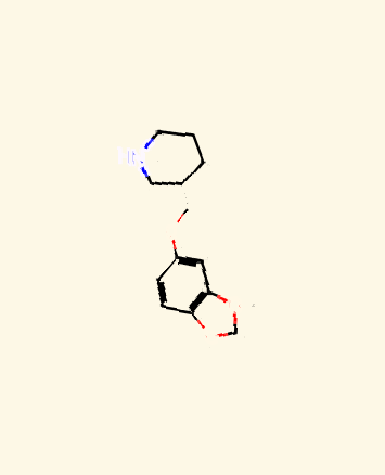 c1cc2c(cc1OC[C@H]1CCCNC1)OCO2